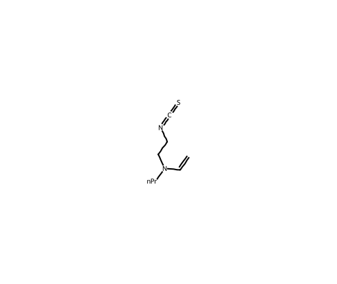 C=CN(CCC)CCN=C=S